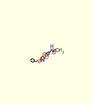 C=CC(=O)NC1C2CN(S(=O)(=O)c3ccc(OCCc4ccccc4)nc3)CC21